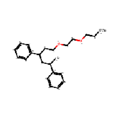 CCCC(CC(CCOCCOCCOC)c1ccccc1)c1ccccc1